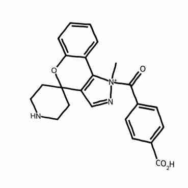 C[N+]1(C(=O)c2ccc(C(=O)O)cc2)N=CC2=C1c1ccccc1OC21CCNCC1